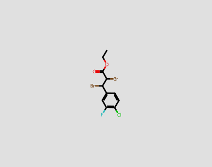 CCOC(=O)C(Br)C(Br)c1ccc(Cl)c(F)c1